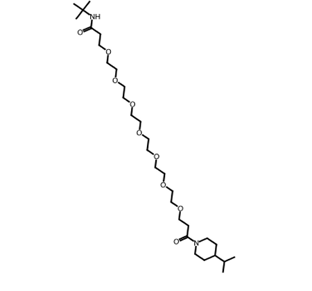 CC(C)C1CCN(C(=O)CCOCCOCCOCCOCCOCCOCCOCCC(=O)NC(C)(C)C)CC1